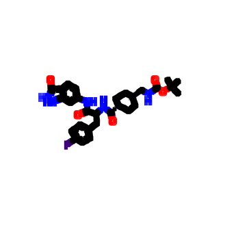 CC(C)(C)OC(=O)NC[C@H]1CC[C@H](C(=O)NC(Cc2ccc(I)cc2)C(=O)Nc2ccc3c(=O)[nH][nH]c3c2)CC1